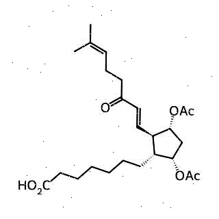 CC(=O)O[C@H]1C[C@@H](OC(C)=O)[C@H](C=CC(=O)CCC=C(C)C)[C@H]1CCCCCCC(=O)O